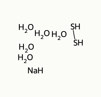 O.O.O.O.O.SS.[NaH]